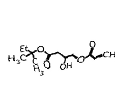 C=CC(=O)OCC(O)CC(=O)OC(C)(C)CC